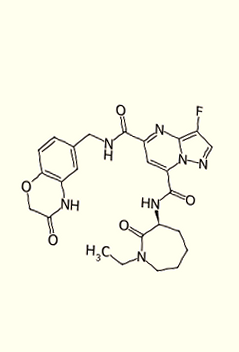 CCN1CCCC[C@H](NC(=O)c2cc(C(=O)NCc3ccc4c(c3)NC(=O)CO4)nc3c(F)cnn23)C1=O